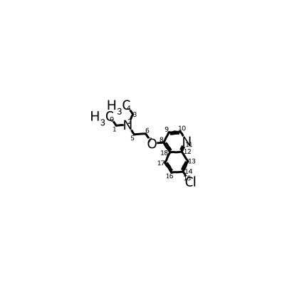 CCN(CC)CCOc1ccnc2cc(Cl)ccc12